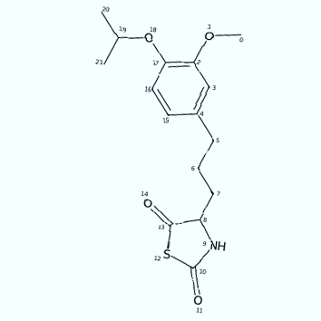 COc1cc(CCCC2NC(=O)SC2=O)ccc1OC(C)C